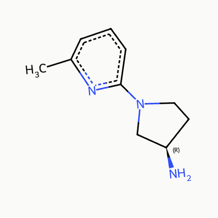 Cc1cccc(N2CC[C@@H](N)C2)n1